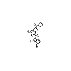 C[C@@H]1CN(C(=O)c2ccccc2)CCN1C(=O)C(=O)c1c[nH]c2c(C=O)ccnc12